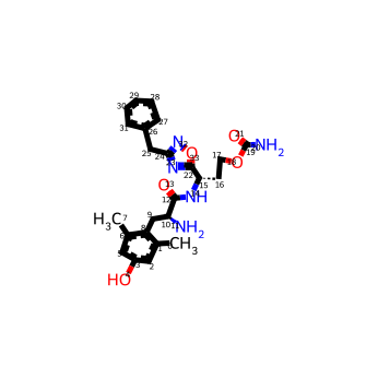 Cc1cc(O)cc(C)c1C[C@H](N)C(=O)N[C@@H](CCOC(N)=O)c1nc(Cc2ccccc2)no1